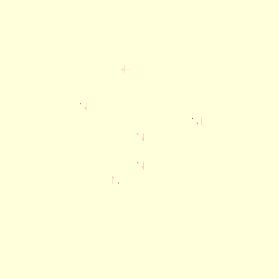 OCC1CCN(Cc2cc3nc(-c4cccc5[nH]ccc45)nc(N4CCOCC4)c3s2)C1